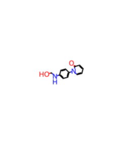 O=c1ccccn1-c1ccc(NCO)cc1